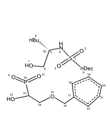 CCCCCCCCCCS(=O)(=O)N[C@H](CO)CCCC.O=P(=O)C(O)COCc1ccccc1